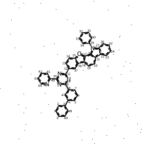 c1ccc(-c2cccc(-c3nc(-c4ccc5oc6c(ccc7c8ccccc8n(-c8ccccc8)c76)c5c4)nc(-c4ccccn4)n3)c2)cc1